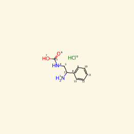 Cl.NC(CNC(=O)O)c1ccccc1